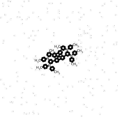 Cc1ccc(N(c2ccc(C)cc2)c2cc(-c3ccc4c(c3)C3(c5ccccc5-c5ccccc53)c3cc(-c5cc(N(c6ccc(C)cc6)c6ccc(C)cc6)cc(N(c6ccc(C)cc6)c6ccc(C)cc6)c5)ccc3-4)cc(N(c3ccc(C)cc3)c3ccc(C)cc3)c2)cc1